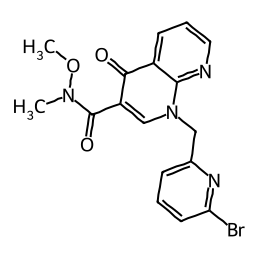 CON(C)C(=O)c1cn(Cc2cccc(Br)n2)c2ncccc2c1=O